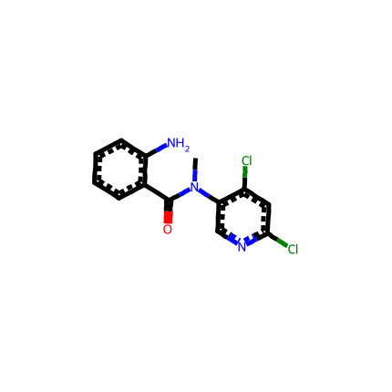 CN(C(=O)c1ccccc1N)c1cnc(Cl)cc1Cl